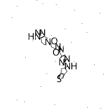 O=C(Cc1nnc(-c2cnc(NC3Cc4cscc4C3)nc2)o1)N1CCc2[nH]nnc2C1